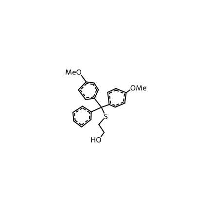 COc1ccc(C(SCCO)(c2ccccc2)c2ccc(OC)cc2)cc1